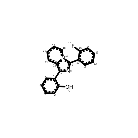 Oc1ccccc1-c1nc(-c2ccccc2F)n2ccccc12